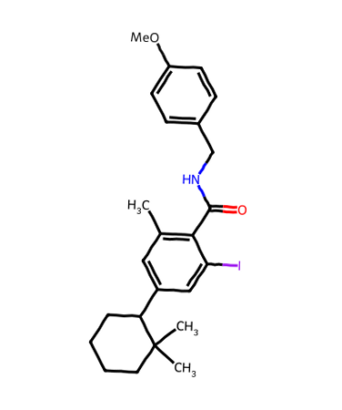 COc1ccc(CNC(=O)c2c(C)cc(C3CCCCC3(C)C)cc2I)cc1